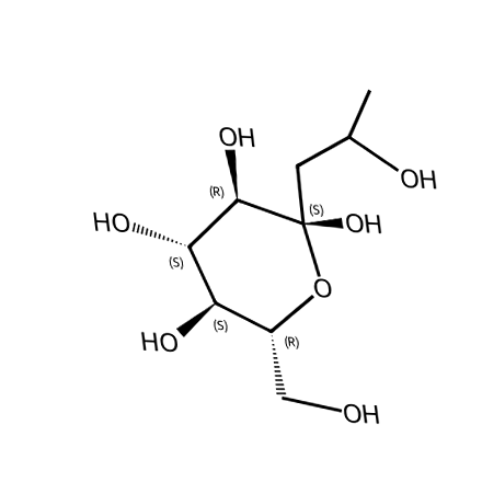 CC(O)C[C@]1(O)O[C@H](CO)[C@@H](O)[C@H](O)[C@H]1O